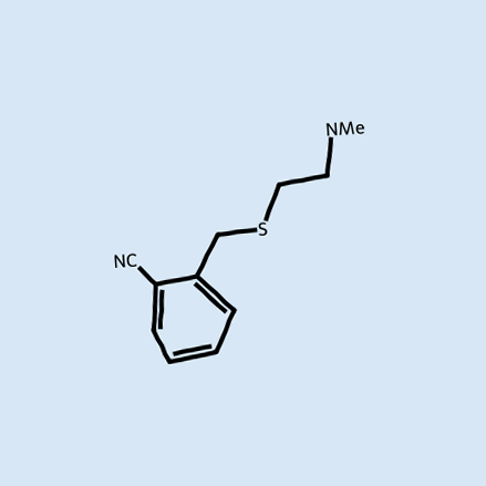 CNCCSCc1ccccc1C#N